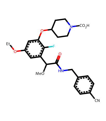 CCOc1cc(OC2CCN(C(=O)O)CC2)c(F)c(C(OC)C(=O)NCc2ccc(C#N)cc2)c1